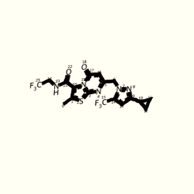 Cc1sc2nc(Cn3nc(C4CC4)cc3C(F)(F)F)cc(=O)n2c1C(=O)NCC(F)(F)F